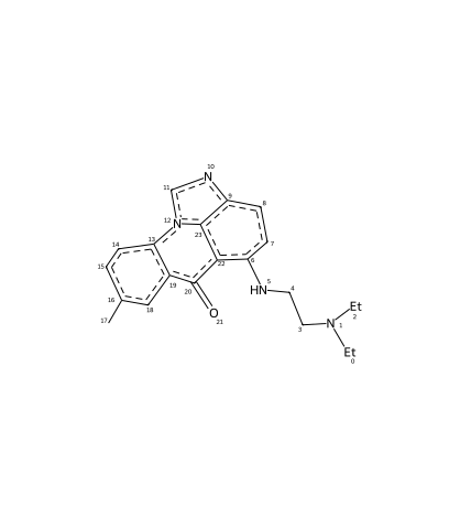 CCN(CC)CCNc1ccc2ncn3c4ccc(C)cc4c(=O)c1c23